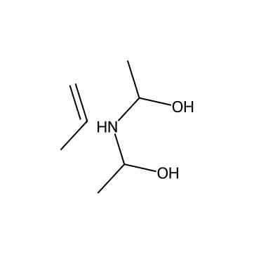 C=CC.CC(O)NC(C)O